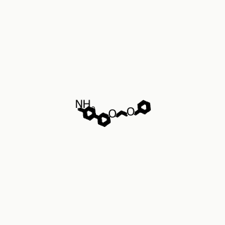 NCc1ccc(-c2cccc(OCCCOCc3ccccc3)c2)cc1